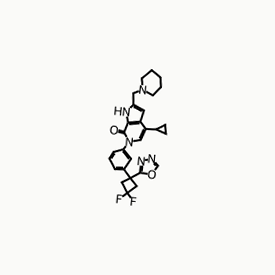 O=c1c2[nH]c(CN3CCCCC3)cc2c(C2CC2)cn1-c1cccc(C2(c3nnco3)CC(F)(F)C2)c1